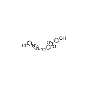 O=c1c(-c2ccc(O)cc2)coc2cc(OCCN3CCN(c4cccc(Cl)c4)CC3)ccc12